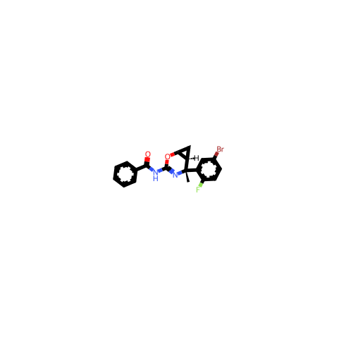 C[C@@]1(c2cc(Br)ccc2F)N=C(NC(=O)c2ccccc2)OC2C[C@H]21